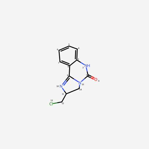 O=C1Nc2ccccc2C2=NC(CCl)CN12